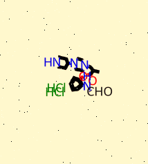 CC(CN1CCN(C2CCNCC2)CC1)C(=O)Oc1ccccc1NC=O.Cl.Cl